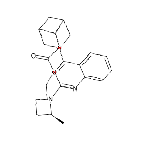 CCOC(=O)CC1C2CC1CN(c1nc(N3CC[C@@H]3C)nc3ccccc13)C2